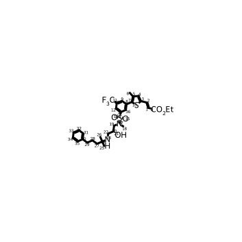 CCOC(=O)C=Cc1cc(C)c(-c2cc(C(F)(F)F)cc(S(=O)(=O)N(C)C[C@H](O)CNC(C)(C)CCCc3ccccc3)c2)s1